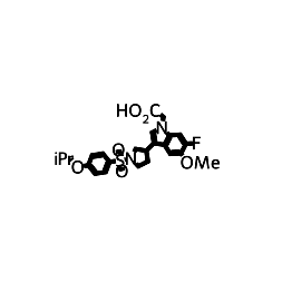 COc1cc2c(C3CCN(S(=O)(=O)c4ccc(OC(C)C)cc4)C3)cn(CC(=O)O)c2cc1F